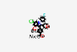 COCOc1cc(Cl)cc2c1c(-c1ccc(C(=O)OC)cc1)c(C1CCOCC1)n2-c1ccc(F)cc1